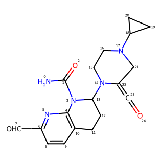 NC(=O)N1c2nc(C=O)ccc2CCC1N1CCN(C2CC2)CC1=C=O